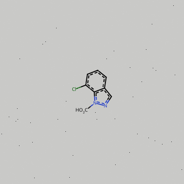 O=C(O)n1ncc2cccc(Cl)c21